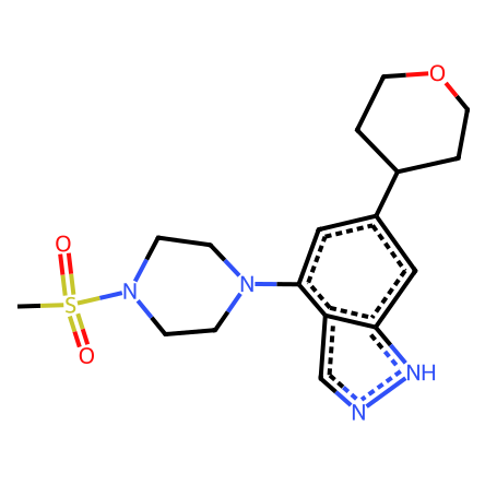 CS(=O)(=O)N1CCN(c2cc(C3CCOCC3)cc3[nH]ncc23)CC1